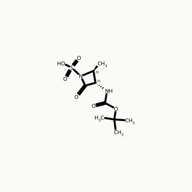 C[C@H]1[C@H](NC(=O)OC(C)(C)C)C(=O)N1S(=O)(=O)O